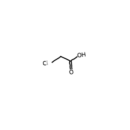 CCC(=O)O.[C]